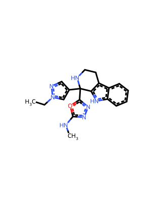 CCn1cc(C2(c3nnc(NC)o3)NCCc3c2[nH]c2ccccc32)cn1